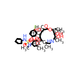 CC[C@H]1OC(=O)[C@H](C)[C@@H](O)[C@H](C)[C@@H](O[C@H]2O[C@@H](C)C[C@@H](N(C)S(=O)(=O)Nc3ccccc3)[C@@H]2Oc2ccc(F)cc2)[C@](C)(O)C[C@@H](C)CN[C@H](C)[C@@H](O)[C@]1(C)O